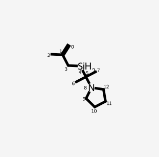 C=C(C)C[SiH2]C(C)(C)N1CCCC1